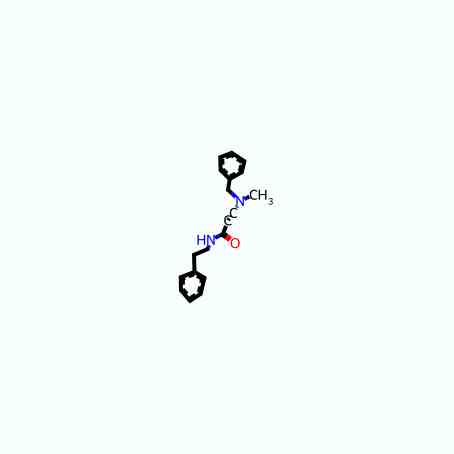 CN(CCC(=O)NCCc1ccccc1)Cc1ccccc1